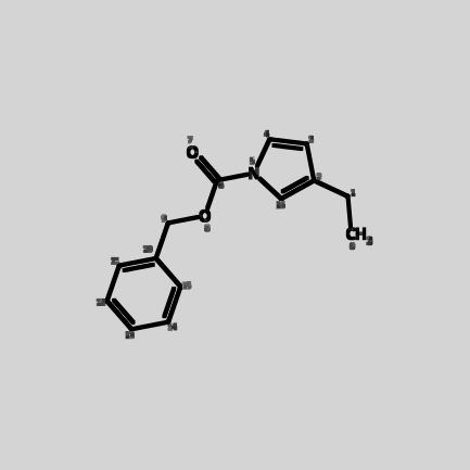 CCc1ccn(C(=O)OCc2ccccc2)c1